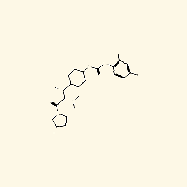 C[C@@H](C1CCC(NC(=O)Nc2ccc(F)cc2F)CC1)[C@@H](C(=O)N1CC[C@H](F)C1)N(C(=O)O)C(C)(C)C